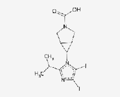 CC(C)c1nc(I)c(I)n1C1C2CN(C(=O)O)CC21